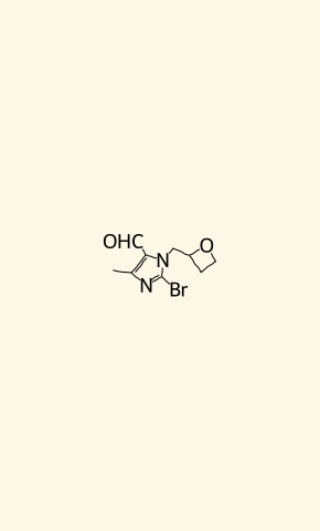 Cc1nc(Br)n(CC2CCO2)c1C=O